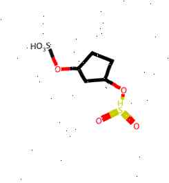 O=[SH](=O)OC1CCC(OS(=O)(=O)O)C1